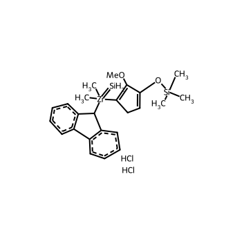 COC1=[C]([Zr]([CH3])([CH3])(=[SiH2])[CH]2c3ccccc3-c3ccccc32)CC=C1O[Si](C)(C)C.Cl.Cl